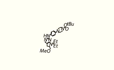 CCC(CC)N1c2nc(Nc3ccc(N4CCN(C(=O)OC(C)(C)C)CC4)cc3)ncc2CC1COC